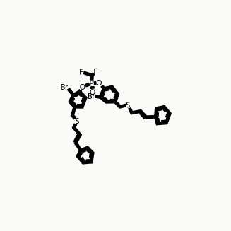 O=P(Oc1ccc(CSCC=Cc2ccccc2)cc1Br)(Oc1ccc(CSCC=Cc2ccccc2)cc1Br)C(F)F